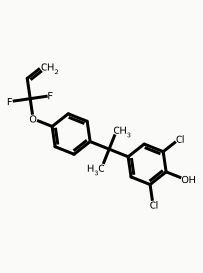 C=CC(F)(F)Oc1ccc(C(C)(C)c2cc(Cl)c(O)c(Cl)c2)cc1